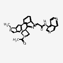 CC(=O)N1CCC(c2nn(CC(=O)Nc3cncc4cnccc34)c3cccc(-c4cc5c(cnn5C)cc4F)c23)CC1